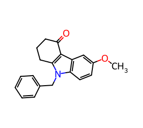 COc1ccc2c(c1)c1c(n2Cc2ccccc2)CCCC1=O